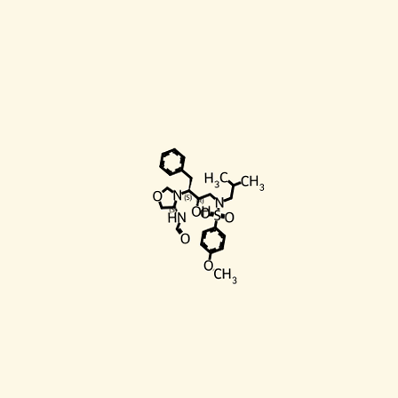 COc1ccc(S(=O)(=O)N(CC(C)C)C[C@@H](O)[C@H](Cc2ccccc2)N2COC[C@H]2NC=O)cc1